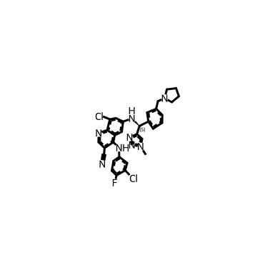 Cn1cc([C@@H](Nc2cc(Cl)c3ncc(C#N)c(Nc4ccc(F)c(Cl)c4)c3c2)c2cccc(CN3CCCC3)c2)nn1